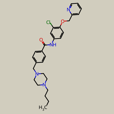 CCCCN1CCN(Cc2ccc(C(=O)Nc3ccc(OCc4ccccn4)c(Cl)c3)cc2)CC1